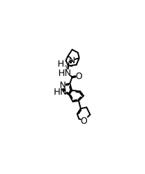 CN1C2CCC1CC(NC(=O)c1n[nH]c3cc(C4=CCOCC4)ccc13)C2